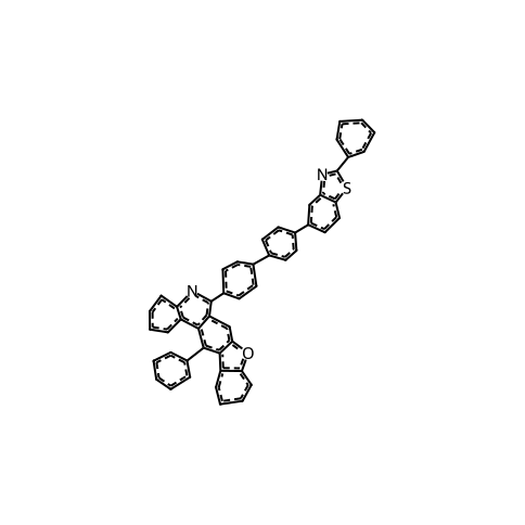 c1ccc(-c2nc3cc(-c4ccc(-c5ccc(-c6nc7ccccc7c7c(-c8ccccc8)c8c(cc67)oc6ccccc68)cc5)cc4)ccc3s2)cc1